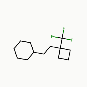 FC(F)(F)C1(CCC2CCCCC2)CCC1